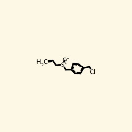 C=CC[S+]([O-])Cc1ccc(CCl)cc1